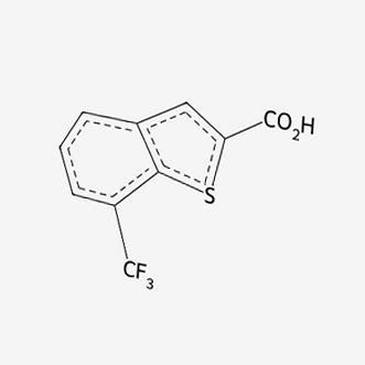 O=C(O)c1cc2cccc(C(F)(F)F)c2s1